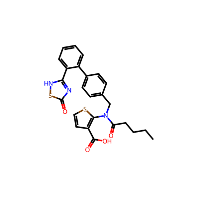 CCCCC(=O)N(Cc1ccc(-c2ccccc2-c2nc(=O)s[nH]2)cc1)c1sccc1C(=O)O